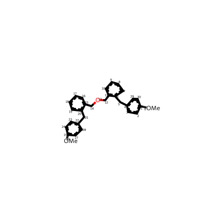 COc1ccc(Cc2ccccc2COCc2ccccc2Cc2ccc(OC)cc2)cc1